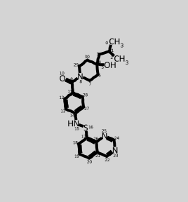 CC(C)CC1(O)CCN(C(=O)c2ccc(NSc3cccc4cncnc34)cc2)CC1